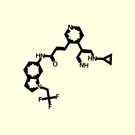 N=C/C(=C\NC1CC1)c1ccncc1/C=C/C(=O)Nc1ccc2ccn(CC(F)(F)F)c2c1